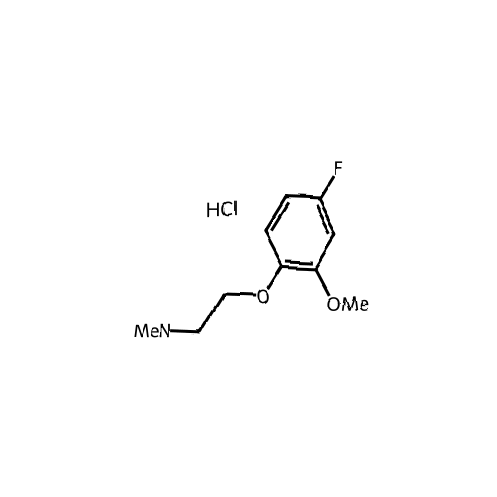 CNCCOc1ccc(F)cc1OC.Cl